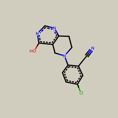 N#Cc1cc(Cl)ccc1N1CCc2ncnc(O)c2C1